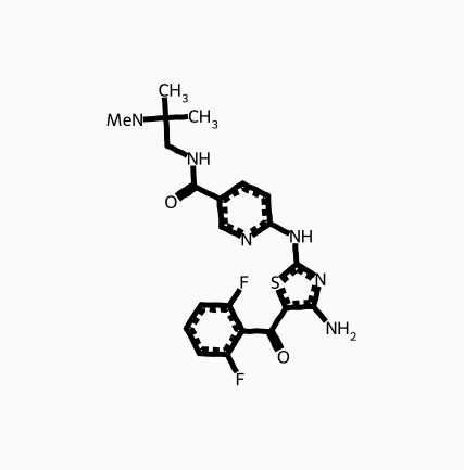 CNC(C)(C)CNC(=O)c1ccc(Nc2nc(N)c(C(=O)c3c(F)cccc3F)s2)nc1